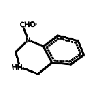 O=[C]N1CNCc2ccccc21